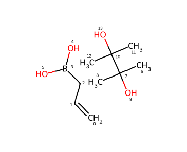 C=CCB(O)O.CC(C)(O)C(C)(C)O